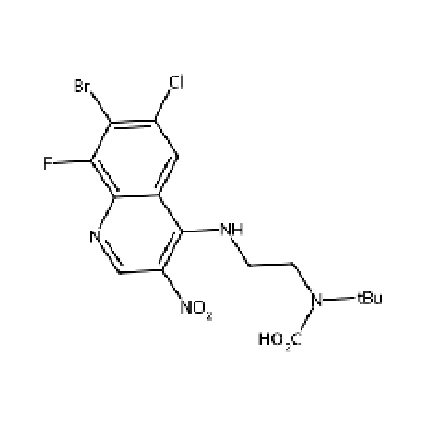 CC(C)(C)N(CCNc1c([N+](=O)[O-])cnc2c(F)c(Br)c(Cl)cc12)C(=O)O